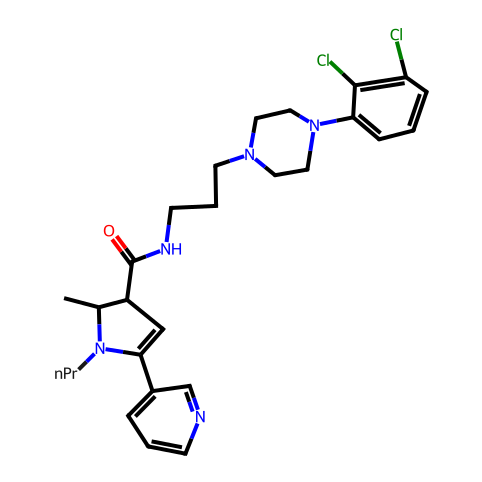 CCCN1C(c2cccnc2)=CC(C(=O)NCCCN2CCN(c3cccc(Cl)c3Cl)CC2)C1C